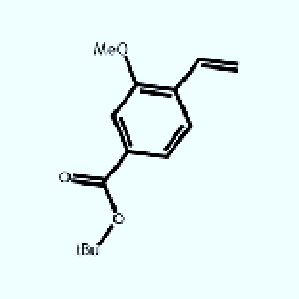 C=Cc1ccc(C(=O)OC(C)(C)C)cc1OC